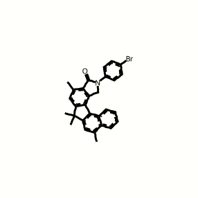 Cc1cc2c(c3c1C(=O)N(c1ccc(Br)cc1)C3)-c1c(cc(C)c3ccccc13)C2(C)C